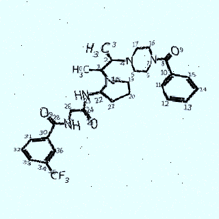 CC([C@@H](C)N1CCN(C(=O)c2ccccc2)CC1)N1CCCC1NC(=O)CNC(=O)c1cccc(C(F)(F)F)c1